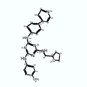 Oc1ccc(Nc2nc(NCC3CCCO3)nc(Nc3ccc(-c4ccncc4)cc3)n2)cc1